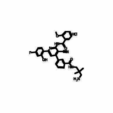 COc1ccccc1C(=O)Nc1nc(-c2ccc(F)cc2O)cc(-c2cccc(C(=O)NCC(C)(C)CN)c2)c1C#N.Cl